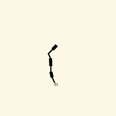 [C]#CCC#CC#CC[CH2]